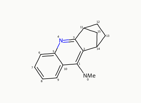 CNc1c2c(nc3ccccc13)C1CCC2C1